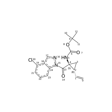 C=C[C@H]1C[C@@]1(NC(=O)OC(C)(C)C)C(=O)n1ncc2c(Cl)cccc21